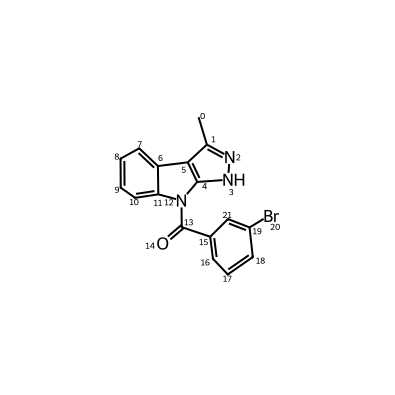 Cc1n[nH]c2c1c1ccccc1n2C(=O)c1cccc(Br)c1